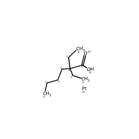 CCCCC(CC)(CC)C(=O)O.[Pt]